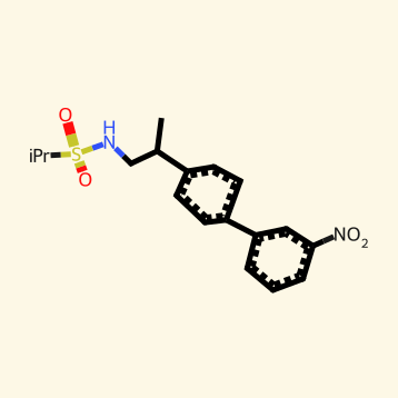 CC(CNS(=O)(=O)C(C)C)c1ccc(-c2cccc([N+](=O)[O-])c2)cc1